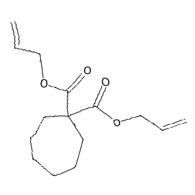 C=CCOC(=O)C1(C(=O)OCC=C)CCCCCC1